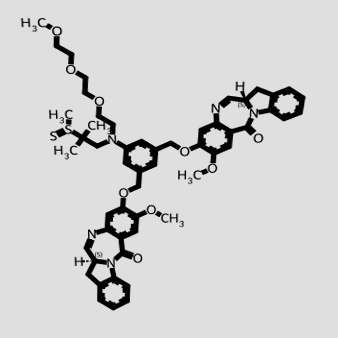 COCCOCCOCCN(CC(C)(C)S(C)=S)c1cc(COc2cc3c(cc2OC)C(=O)N2c4ccccc4C[C@H]2C=N3)cc(COc2cc3c(cc2OC)C(=O)N2c4ccccc4C[C@H]2C=N3)c1